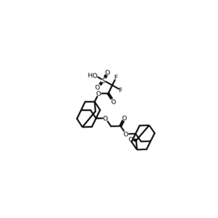 O=C(COC12CC3CC(C1)CC(OC(=O)C(F)(F)S(=O)(=O)O)(C3)C2)OC12CC3CC(C1)C(=O)C(C3)C2